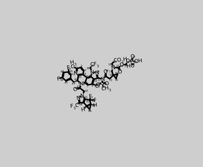 Cc1ccc(-c2ccc(Cl)c3c(N(C(=O)CC4(CN(CC(=O)O)C(=O)OCOP(=O)(O)O)CC4)S(C)(=O)=O)nn(CC(F)(F)F)c23)c([C@H](Cc2cc(F)cc(F)c2)NC(=O)Cn2nc(C(F)(F)F)c3c2C(F)(F)[C@@H]2C[C@H]32)n1